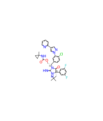 CC(C)(C)C[C@]1(c2cc(F)cc(F)c2)NC(=N)N([C@H](COC(=O)NC2(C)CC2)c2ccc(Cl)c(-n3cc(-c4ccccn4)cn3)c2)C1=O